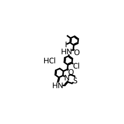 Cc1cccc(C(=O)Nc2ccc(C(=O)C3CC=CC4=CNC=C5CSCCN5C43)c(Cl)c2)c1I.Cl